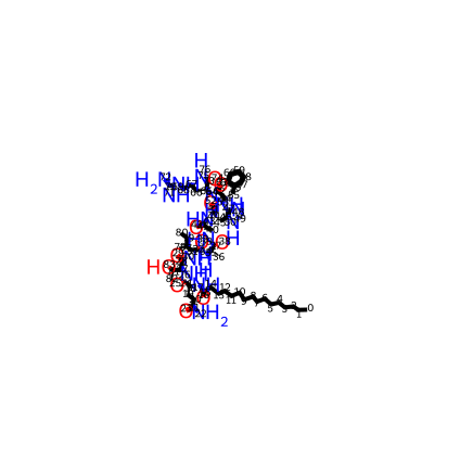 CCCCCCCCCCCCCCCC(=O)N[C@@H](CCC(N)=O)C(=O)N[C@H](C(=O)N[C@H](C(=O)N[C@@H](C)C(=O)NCC(=O)N[C@@H](Cc1cnc[nH]1)C(=O)N[C@@H](Cc1ccccc1)C(=O)N[C@@H](CCCNC(=N)N)C(=O)NC)[C@@H](C)CC)[C@@H](C)O